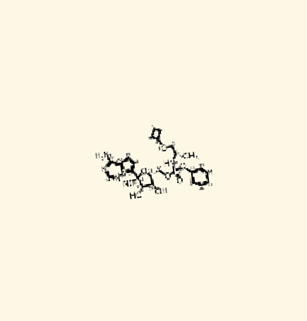 C[C@@H](COC1CCC1)NP(=O)(OC[C@H]1O[C@@](C#N)(c2ccc3c(N)ncnn23)[C@H](O)[C@@H]1O)Oc1ccccc1